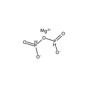 O=[PH]([O-])O[PH](=O)[O-].[Mg+2]